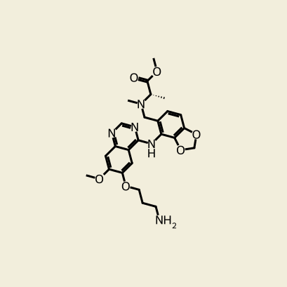 COC(=O)[C@H](C)N(C)Cc1ccc2c(c1Nc1ncnc3cc(OC)c(OCCCN)cc13)OCO2